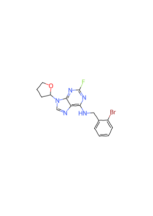 Fc1nc(NCc2ccccc2Br)c2ncn(C3CCCO3)c2n1